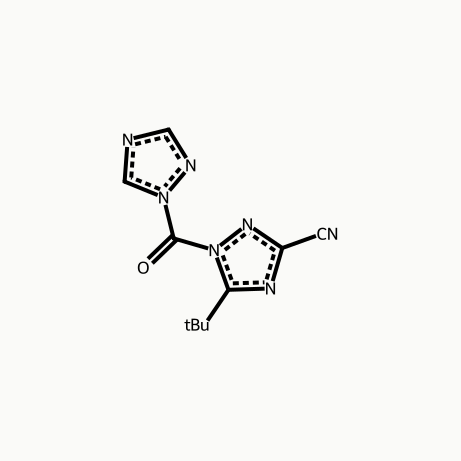 CC(C)(C)c1nc(C#N)nn1C(=O)n1cncn1